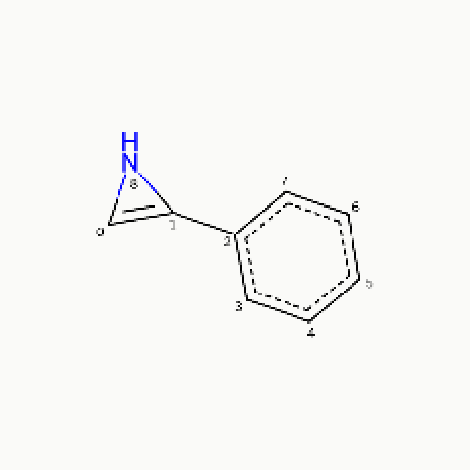 C1=C(c2ccccc2)N1